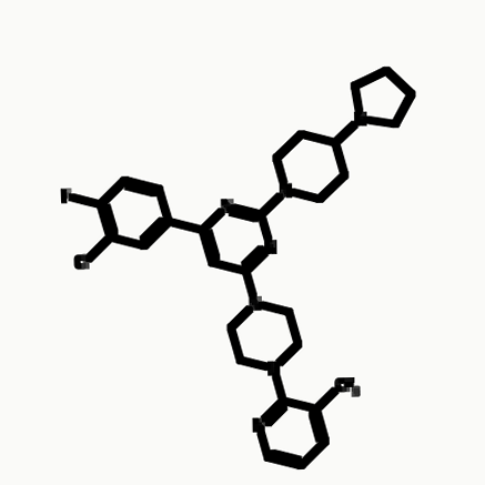 Fc1ccc(-c2cc(N3CCN(c4ncccc4C(F)(F)F)CC3)nc(N3CCC(N4CCCC4)CC3)n2)cc1Cl